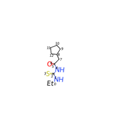 CCNC(=S)NC(=O)CC1CCCC1